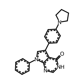 O=c1[nH]cnc2c1c(-c1ccc(N3CCCC3)cc1)cn2-c1ccccc1